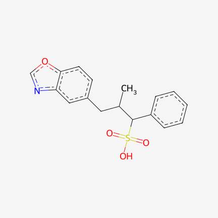 CC(Cc1ccc2ocnc2c1)C(c1ccccc1)S(=O)(=O)O